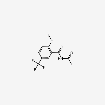 CC(=O)NC(=O)c1cc(C(F)(F)F)ccc1OI